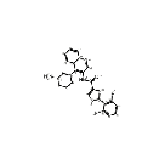 N[C@H]1CCCN(C2=C(NC(=O)c3csc(-c4c(F)cccc4F)n3)C=NC3C=CC=CC23)C1